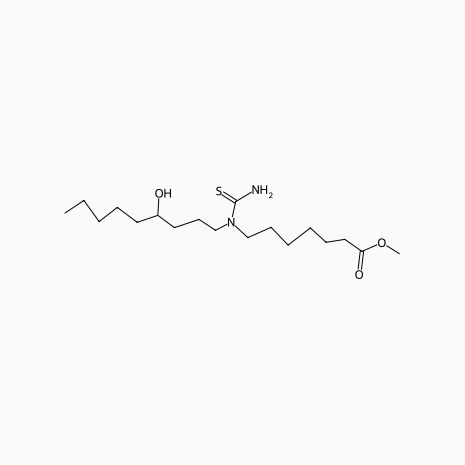 CCCCCC(O)CCCN(CCCCCCC(=O)OC)C(N)=S